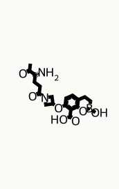 CC(=O)[C@H](N)CCC(=O)N1CC(Oc2ccc3c(c2C(=O)O)OB(O)CC3)C1